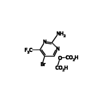 Nc1ncc(Br)c(C(F)(F)F)n1.O=C(O)OC(=O)O